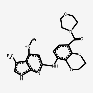 CC(C)Nc1cc(Nc2ccc(C(=O)N3CCOCC3)c3c2OCCO3)nc2[nH]cc(C(F)(F)F)c12